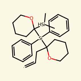 [CH]=CCC1([Si](c2ccccc2)(c2ccccc2)C2([SiH](C)C)CCCCO2)CCCCO1